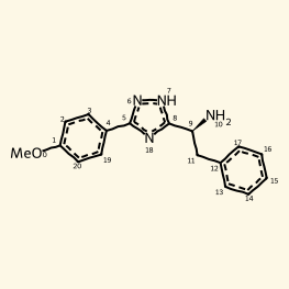 COc1ccc(-c2n[nH]c([C@@H](N)Cc3ccccc3)n2)cc1